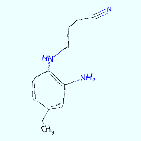 Cc1ccc(NCCC#N)c(N)c1